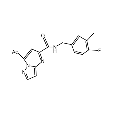 CC(=O)c1cc(C(=O)NCc2ccc(F)c(C)c2)nc2ccnn12